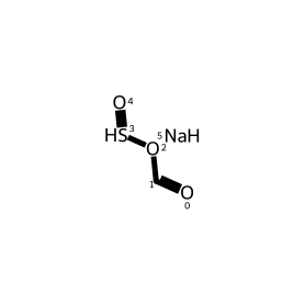 O=CO[SH]=O.[NaH]